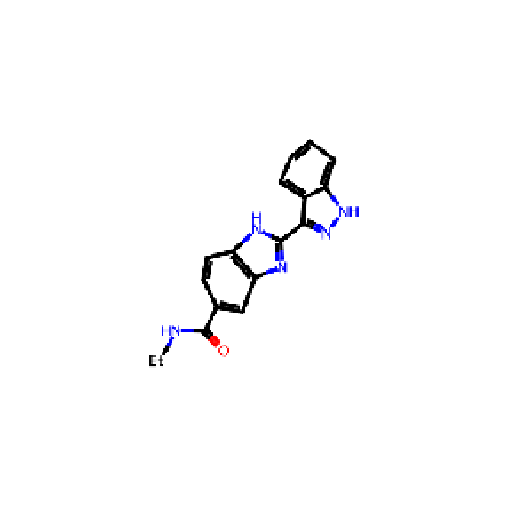 CCNC(=O)c1ccc2[nH]c(-c3n[nH]c4ccccc34)nc2c1